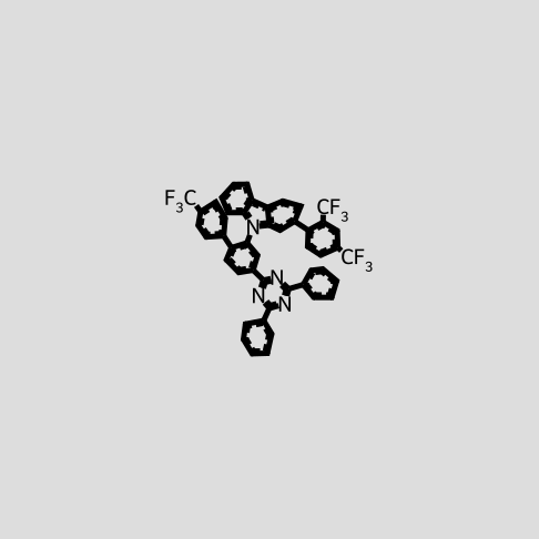 FC(F)(F)c1ccc(-c2ccc(-c3nc(-c4ccccc4)nc(-c4ccccc4)n3)cc2-n2c3ccccc3c3ccc(-c4ccc(C(F)(F)F)cc4C(F)(F)F)cc32)cc1